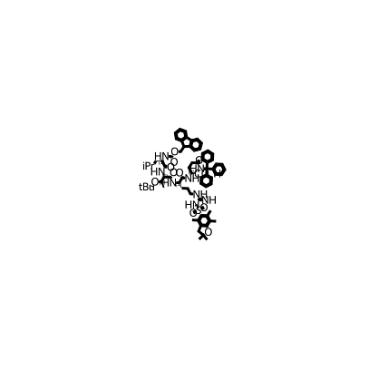 Cc1c(C)c(S(=O)(=O)NC(=N)NCCC[C@H](NC(=O)[C@@H](NC(=O)[C@H](CC(C)C)NC(=O)OCC2c3ccccc3-c3ccccc32)[C@@H](C)OC(C)(C)C)C(=O)N[C@@H](CCC(=O)NC(c2ccccc2)(c2ccccc2)c2ccccc2)C(=O)O)c(C)c2c1OC(C)(C)C2